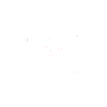 CC/C=C/CCOc1c(OCc2ccccc2)c2cccc(OC)c2oc1=O